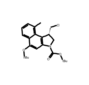 CCCCOc1cc2c(c3c(C)cccc13)[C@H](CCl)CN2C(=O)OC(C)(C)C